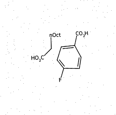 CCCCCCCCCC(=O)O.O=C(O)c1ccc(F)cc1